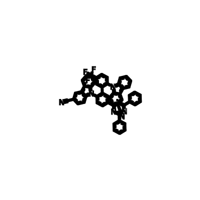 N#Cc1ccc2c(c1)c1ccccc1n2-c1ccc(-c2nc(-c3ccccc3)nc(-c3ccccc3)n2)cc1-c1cc(C(F)(F)F)ccc1-n1c2ccccc2c2cc(C#N)ccc21